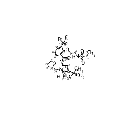 CCS(=O)(=O)NCCOc1c(C(=O)/N=c2\cc(C(C)(C)C)n(C)n2C[C@H]2CCCO2)cccc1C(F)(F)F